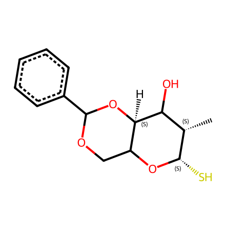 C[C@H]1C(O)[C@@H]2OC(c3ccccc3)OCC2O[C@H]1S